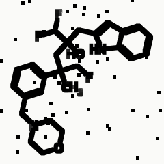 CC(CF)(CC(O)(Cc1cc2ccccc2[nH]1)C(F)F)c1cccc(CN2CCOCC2)c1